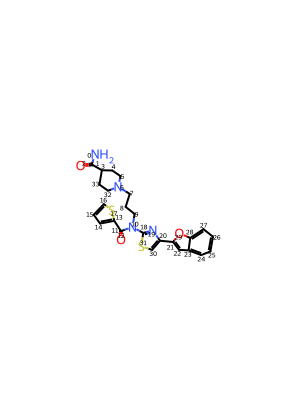 NC(=O)C1CCN(CCCN(C(=O)c2cccs2)c2nc(-c3cc4ccccc4o3)cs2)CC1